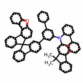 CC1(C)c2ccccc2-c2ccc(N(c3cc(-c4ccccc4)cc(-c4ccc5c(c4)C4(c6ccccc6-5)c5ccccc5-c5c4ccc4oc6ccccc6c54)c3)c3ccccc3-c3ccccc3)cc21